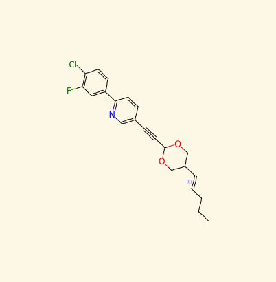 CCC/C=C/C1COC(C#Cc2ccc(-c3ccc(Cl)c(F)c3)nc2)OC1